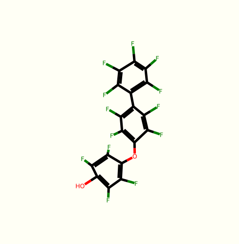 Oc1c(F)c(F)c(Oc2c(F)c(F)c(-c3c(F)c(F)c(F)c(F)c3F)c(F)c2F)c(F)c1F